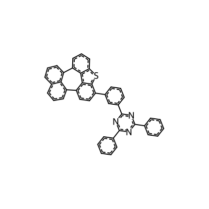 c1ccc(-c2nc(-c3ccccc3)nc(-c3cccc(-c4ccc5c6c4sc4cccc(c46)-c4cccc6cccc-5c46)c3)n2)cc1